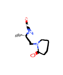 CC(C)(C)[C@@H](CN1CCCCC1=O)N=C=O